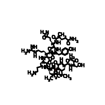 CC(C)C[C@H](NC(=O)[C@H](CC(C)C)NC(=O)[C@H](CCCCN)NC(=O)[C@H](CCCNC(=N)N)NC(=O)[C@H](Cc1ccc(O)cc1)NC(=O)[C@H](CCC(N)=O)NC(=O)[C@@H](C)CCC(N)=O)C(=O)N[C@@H](CCCCN)C(=O)N[C@@H](CO)C(N)=O